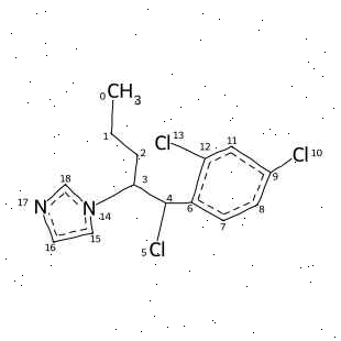 CCCC(C(Cl)c1ccc(Cl)cc1Cl)n1ccnc1